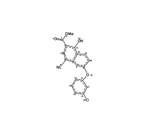 COC(=O)c1nc(C#N)c2cc(Oc3cccc(Cl)c3)ccc2c1O